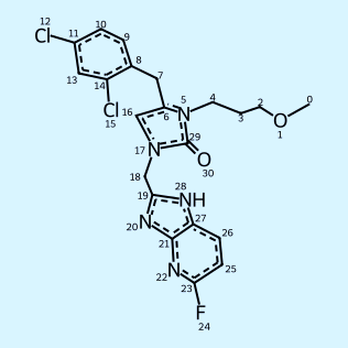 COCCCn1c(Cc2ccc(Cl)cc2Cl)cn(Cc2nc3nc(F)ccc3[nH]2)c1=O